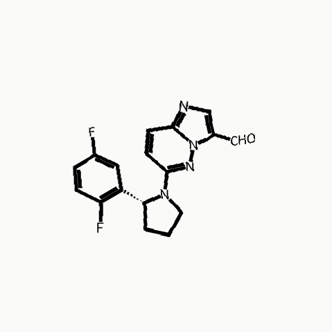 O=Cc1cnc2ccc(N3CCC[C@@H]3c3cc(F)ccc3F)nn12